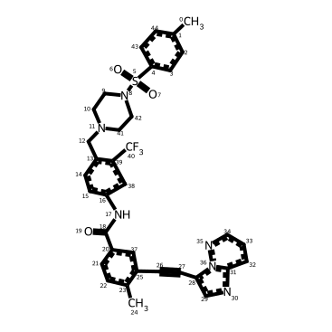 Cc1ccc(S(=O)(=O)N2CCN(Cc3ccc(NC(=O)c4ccc(C)c(C#Cc5cnc6cccnn56)c4)cc3C(F)(F)F)CC2)cc1